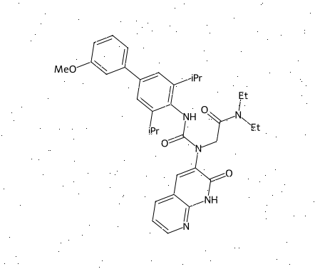 CCN(CC)C(=O)CN(C(=O)Nc1c(C(C)C)cc(-c2cccc(OC)c2)cc1C(C)C)c1cc2cccnc2[nH]c1=O